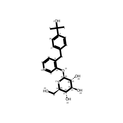 CC(C)(O)c1ccc(Cc2ccncc2O[C@@H]2S[C@H](CO)[C@@H](O)[C@H](O)[C@H]2O)cc1